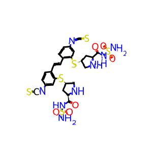 NS(=O)(=O)NC(=O)C1C[C@@H](Sc2cc(N=C=S)ccc2/C=C/c2ccc(N=C=S)cc2S[C@@H]2CN[C@@H](C(=O)NS(N)(=O)=O)C2)CN1